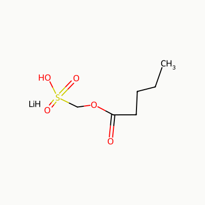 CCCCC(=O)OCS(=O)(=O)O.[LiH]